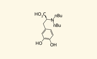 CCCCN(CCCC)[C@@H](Cc1ccc(O)c(O)c1)C(=O)O